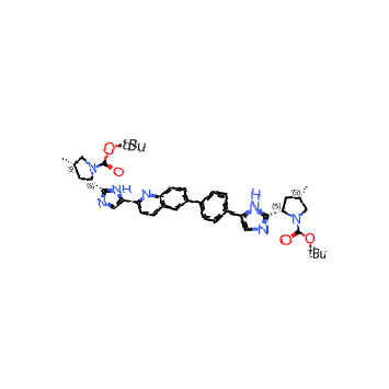 C[C@H]1C[C@@H](c2ncc(-c3ccc(-c4ccc5nc(-c6cnc([C@@H]7C[C@H](C)CN7C(=O)OC(C)(C)C)[nH]6)ccc5c4)cc3)[nH]2)N(C(=O)OC(C)(C)C)C1